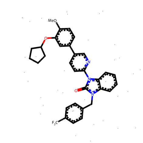 COc1ccc(-c2ccc(-n3c(=O)n(Cc4ccc(C(F)(F)F)cc4)c4ccccc43)nc2)cc1OC1CCCC1